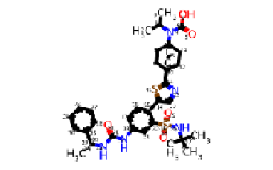 CC(C)N(C(=O)O)C12CCC(c3ncc(-c4ccc(NC(=O)N[C@H](C)c5ccccc5)cc4S(=O)(=O)NC(C)(C)C)s3)(CC1)CC2